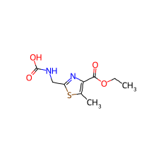 CCOC(=O)c1nc(CNC(=O)O)sc1C